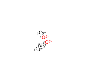 [Cs+].[Cs+].[Ni+2].[O-2].[O-2]